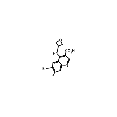 O=C(O)c1cnc2cc(F)c(Br)cc2c1NC1COC1